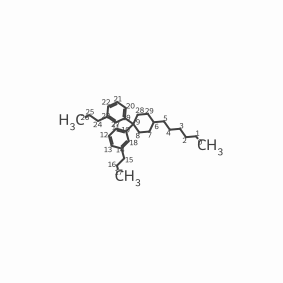 CCCCCCC1CCC(c2cccc(CCC)c2)(c2cccc(CCC)c2)CC1